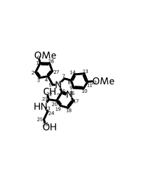 COc1ccc(CN(Cc2ccc(OC)cc2)c2ncccc2C(C)NCCO)cc1